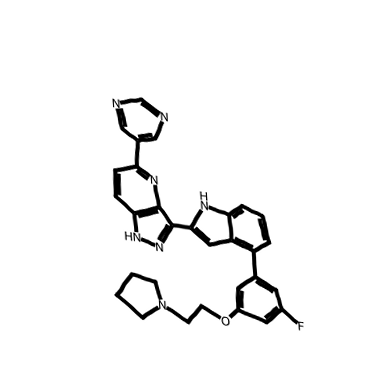 Fc1cc(OCCN2CCCC2)cc(-c2cccc3[nH]c(-c4n[nH]c5ccc(-c6cncnc6)nc45)cc23)c1